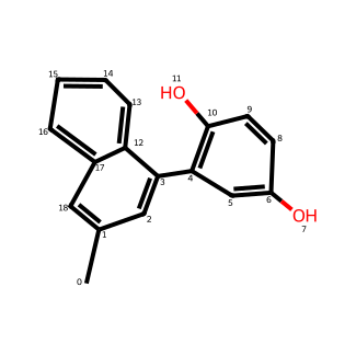 Cc1cc(-c2cc(O)ccc2O)c2ccccc2c1